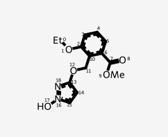 CCOc1cccc(C(=O)OC)c1COc1ccn(O)n1